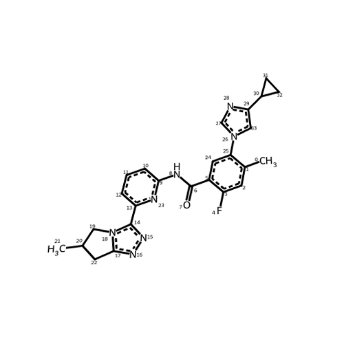 Cc1cc(F)c(C(=O)Nc2cccc(-c3nnc4n3CC(C)C4)n2)cc1-n1cnc(C2CC2)c1